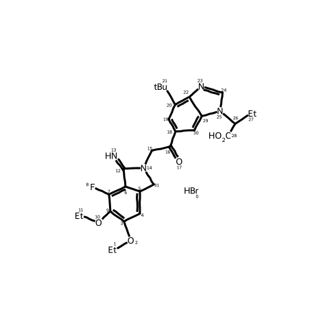 Br.CCOc1cc2c(c(F)c1OCC)C(=N)N(CC(=O)c1cc(C(C)(C)C)c3ncn(C(CC)C(=O)O)c3c1)C2